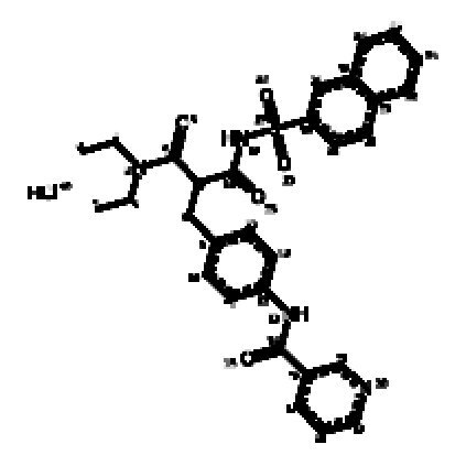 CCN(CC)C(=O)C(Cc1ccc(NC(=O)c2cccnc2)cc1)C(=O)NS(=O)(=O)c1ccc2ccccc2c1.Cl